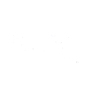 CCCCc1ccc2c(c1)C(=O)N(N(C)C(C)Cc1ccc3c(c1)OCO3)C2=O